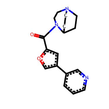 O=C(c1cc(-c2cccnc2)co1)N1CCN2CCC1CC2